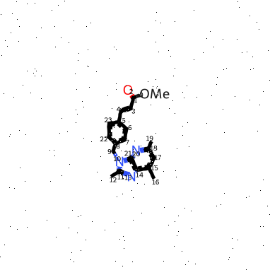 COC(=O)C=Cc1ccc(Cn2c(C)nc3c(C)cc(C)nc32)cc1